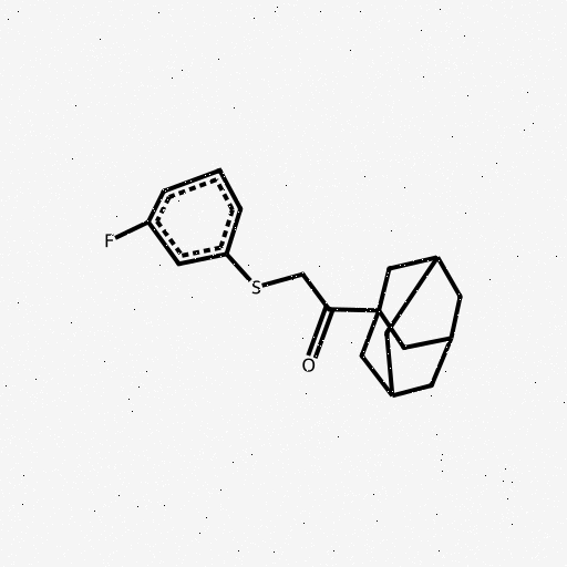 O=C(CSc1cccc(F)c1)C12CC3CC(CC(C3)C1)C2